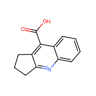 O=C(O)c1c2c(nc3ccccc13)CCC2